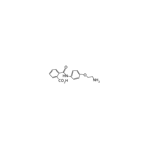 NCCOc1ccc(NC(=O)c2ccccc2C(=O)O)cc1